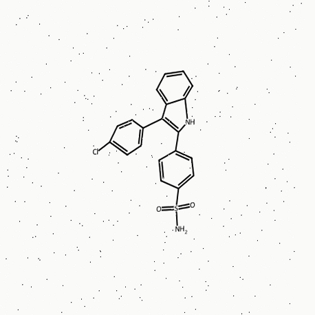 NS(=O)(=O)c1ccc(-c2[nH]c3ccccc3c2-c2ccc(Cl)cc2)cc1